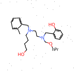 CCCOCN(CCN(CCCCO)Cc1ccccc1C)Cc1ccccc1O